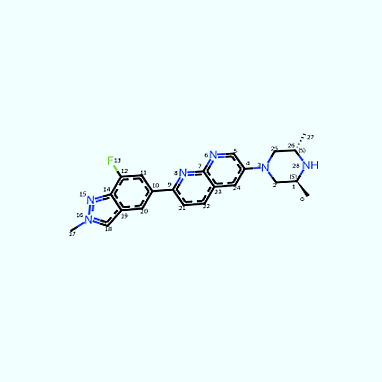 C[C@H]1CN(c2cnc3nc(-c4cc(F)c5nn(C)cc5c4)ccc3c2)C[C@H](C)N1